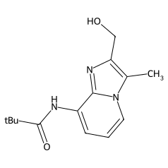 Cc1c(CO)nc2c(NC(=O)C(C)(C)C)cccn12